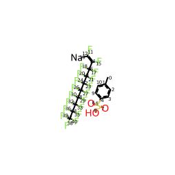 Cc1ccc(S(=O)(=O)O)cc1.F[C]([Na])=C(F)C(F)(F)C(F)(F)C(F)(F)C(F)(F)C(F)(F)C(F)(F)C(F)(F)C(F)(F)F